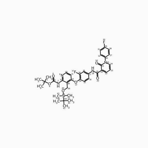 CC(C)(C)OC(=O)Nc1nccc(Oc2ccc(NC(=O)c3cccn(-c4ccc(F)cc4)c3=O)cc2F)c1CO[Si](C)(C)C(C)(C)C